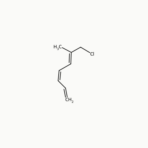 C=C/C=C\C=C(/C)CCl